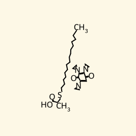 CCCCCCCCCCCCCCCCCCSCC(C)C(=O)O.O=C1C=C(N2CC2)C(=O)C(N2CC2)=C1N1CC1